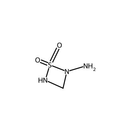 NN1CNS1(=O)=O